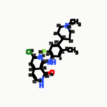 Cc1cc(Nc2nc(Cl)cc3cc[nH]c(=O)c23)c(F)cc1C1CCN(C)CC1